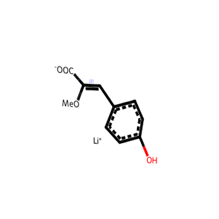 CO/C(=C\c1ccc(O)cc1)C(=O)[O-].[Li+]